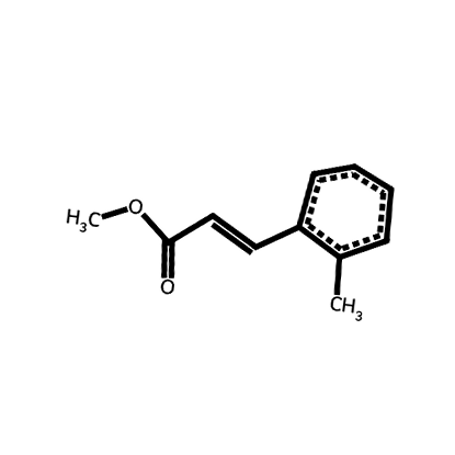 COC(=O)/C=C/c1ccccc1C